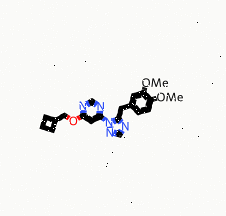 COc1ccc(Cc2ncnn2-c2cc(OCC3CCC3)ncn2)cc1OC